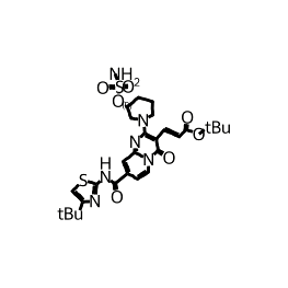 CC(C)(C)OC(=O)C=Cc1c(N2CCC[C@@H](OS(N)(=O)=O)C2)nc2cc(C(=O)Nc3nc(C(C)(C)C)cs3)ccn2c1=O